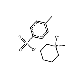 CC[N+]1(C)CCCCC1.Cc1ccc(S(=O)(=O)[O-])cc1